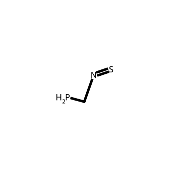 PCN=S